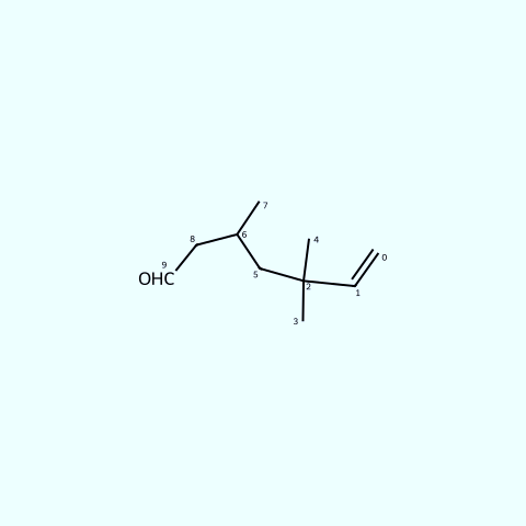 C=CC(C)(C)CC(C)CC=O